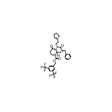 O=C1[C@H](CCN2CCCC2)N2C(=O)CCN(C(=O)OCc3cc(C(F)(F)F)cc(C(F)(F)F)c3)[C@H]2CN1Cc1ccccc1